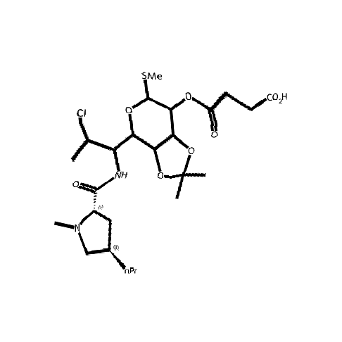 CCC[C@@H]1C[C@@H](C(=O)NC(C(C)Cl)C2OC(SC)C(OC(=O)CCC(=O)O)C3OC(C)(C)OC23)N(C)C1